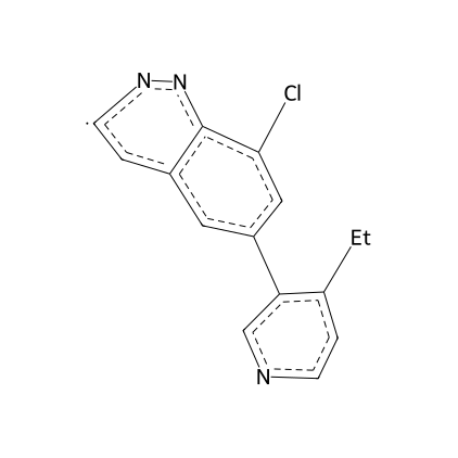 CCc1ccncc1-c1cc(Cl)c2nn[c]cc2c1